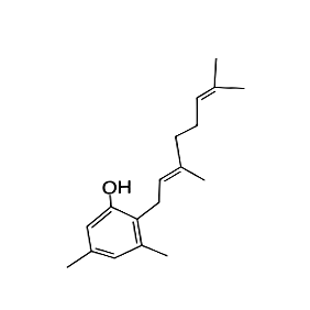 CC(C)=CCC/C(C)=C/Cc1c(C)cc(C)cc1O